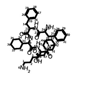 NCCCCC(NC(=O)C(NC(=O)C(Cc1ccccc1)NC(=O)C(N)Cc1ccccc1)C1CCCCC1)C(=O)N1C2CC1CN(CC(=O)O)C2